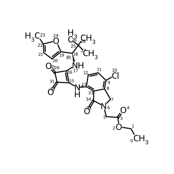 CCOC(=O)CN1Cc2c(Cl)ccc(Nc3c(N[C@@H](c4ccc(C)o4)C(C)(C)C)c(=O)c3=O)c2C1=O